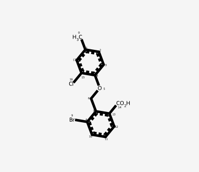 Cc1ccc(OCc2c(Br)cccc2C(=O)O)c(Cl)c1